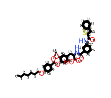 CCCCCCCOc1ccc(C(=O)Oc2ccc(CC(NC(=O)c3cccc(NC(=O)c4cc5ccccc5s4)c3)C(=O)O)cc2OC)cc1